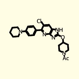 CC(=O)N1CCC(Oc2nc3nc(-c4ccc(N5CCCCC5)cc4)c(Cl)cc3[nH]2)CC1